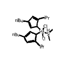 CCCCC1=C[CH]([Hf]([Cl])([Cl])([CH]2C=C(CCCC)C=C2C(C)C)[SiH](C)C)C(C(C)C)=C1